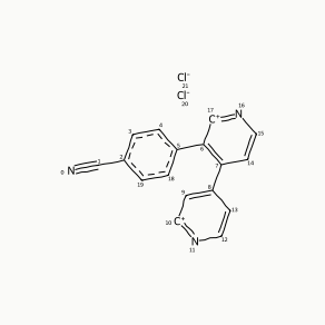 N#Cc1ccc(C2=C(C3=C[C+]=NC=C3)C=CN=[C+]2)cc1.[Cl-].[Cl-]